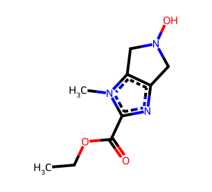 CCOC(=O)c1nc2c(n1C)CN(O)C2